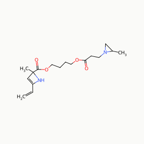 C=CC1=CC(C)(C(=O)OCCCCOC(=O)CCN2CC2C)N1